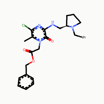 Cc1c(Cl)nc(NC[C@H]2CCCN2CC(C)C)c(=O)n1CC(=O)OCc1ccccc1